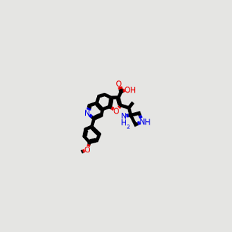 COc1ccc(-c2cc3c(cn2)CCc2c-3oc(C(C)C3(N)CNC3)c2C(=O)O)cc1